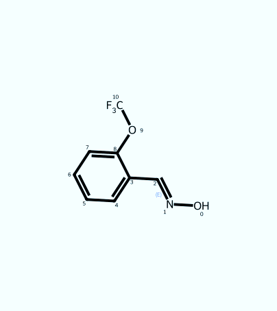 O/N=C/c1ccccc1OC(F)(F)F